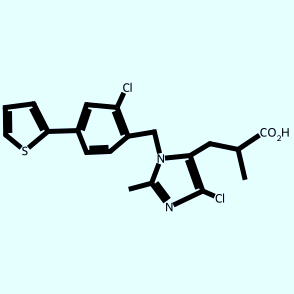 Cc1nc(Cl)c(CC(C)C(=O)O)n1Cc1ccc(-c2cccs2)cc1Cl